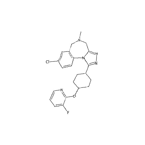 CN1Cc2cc(Cl)ccc2-n2c(nnc2C2CCC(Oc3ncccc3F)CC2)C1